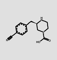 N#Cc1ccc(C[C@@H]2CN(C(=O)O)CCN2)cc1